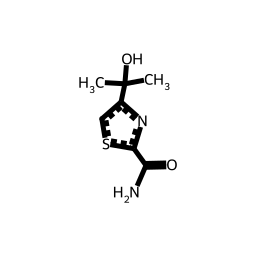 CC(C)(O)c1csc(C(N)=O)n1